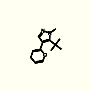 Cn1ncc(C2=CCC=CO2)c1C(C)(C)C